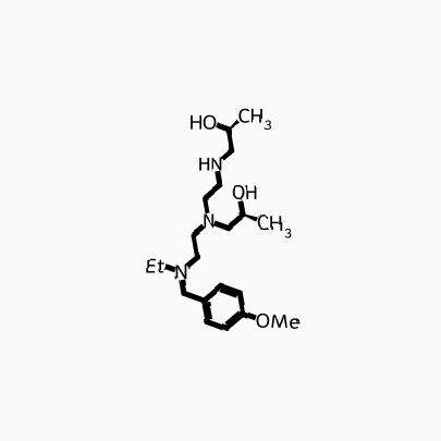 CCN(CCN(CCNC[C@H](C)O)C[C@H](C)O)Cc1ccc(OC)cc1